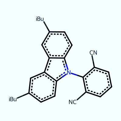 CCC(C)c1ccc2c(c1)c1cc(C(C)CC)ccc1n2-c1c(C#N)cccc1C#N